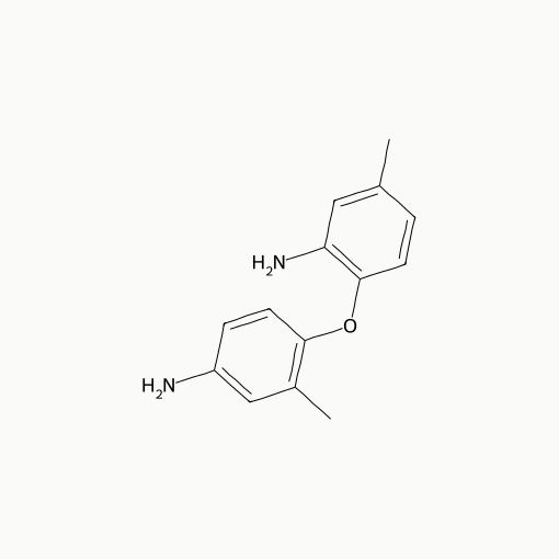 Cc1ccc(Oc2ccc(N)cc2C)c(N)c1